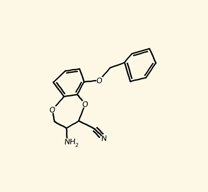 N#CC1Oc2c(OCc3ccccc3)cccc2OCC1N